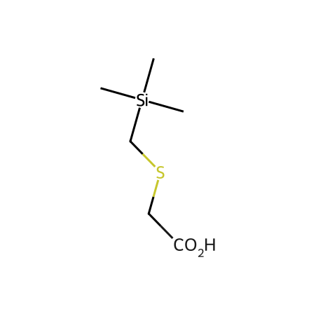 C[Si](C)(C)CSCC(=O)O